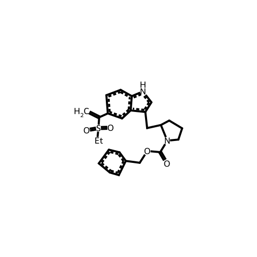 C=C(c1ccc2[nH]cc(CC3CCCN3C(=O)OCc3ccccc3)c2c1)S(=O)(=O)CC